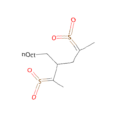 CCCCCCCCCC(CC(C)=S(=O)=O)C(C)=S(=O)=O